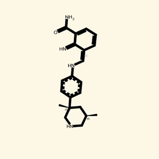 C[C@H]1CNC[C@](C)(c2ccc(N/C=C3/C=CC=C(C(N)=O)C3=N)cc2)C1